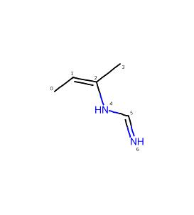 C/C=C(/C)NC=N